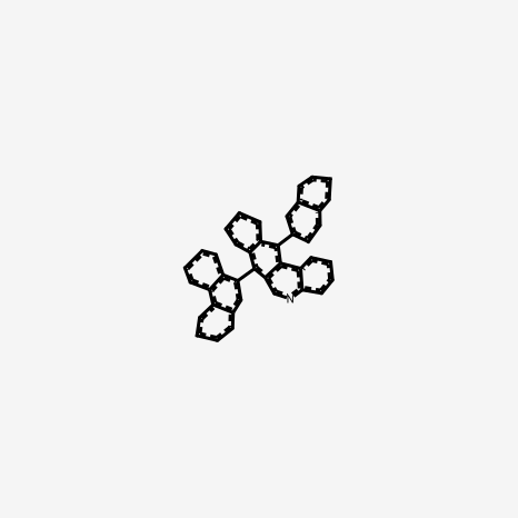 c1ccc2cc(-c3c4ccccc4c(-c4cc5ccccc5c5ccccc45)c4cnc5ccccc5c34)ccc2c1